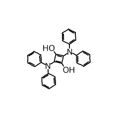 OC1=C(N(c2ccccc2)c2ccccc2)C(O)=C1N(c1ccccc1)c1ccccc1